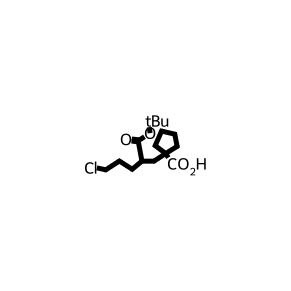 CC(C)(C)OC(=O)C(CCCCl)CC1(C(=O)O)CCCC1